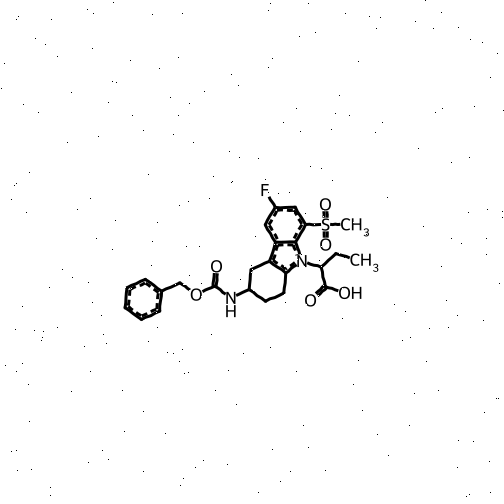 CCC(C(=O)O)n1c2c(c3cc(F)cc(S(C)(=O)=O)c31)CC(NC(=O)OCc1ccccc1)CC2